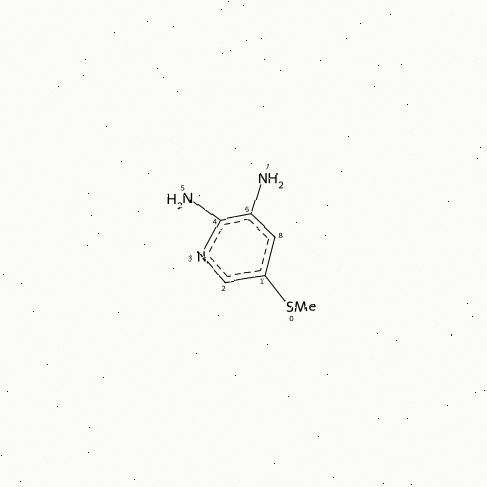 CSc1cnc(N)c(N)c1